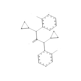 O=C(C(c1ccccc1F)C1CC1)C(c1ccccc1F)C1CC1